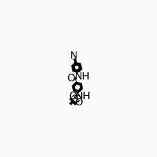 CC(C)(C)S(=O)(=O)N[C@H]1CC[C@H](C(=O)Nc2ccc(C#N)cc2)CC1